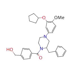 COc1ccc(N2CCN(C(=O)c3ccc(CO)cc3)C(Cc3ccccc3)C2)cc1OC1CCCC1